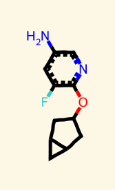 Nc1cnc(OC2CC3CC3C2)c(F)c1